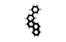 c1ccc2c(c1)ccc1c3c(ccc12)CCC(C1CCCCC1)C3